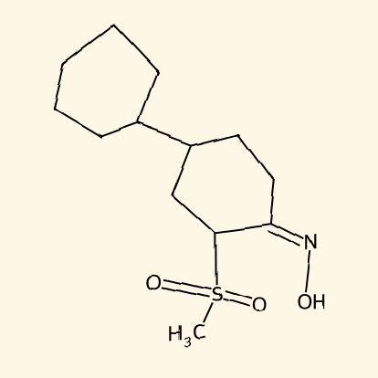 CS(=O)(=O)C1CC(C2CCCCC2)CCC1=NO